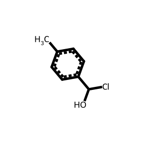 Cc1ccc(C(O)Cl)cc1